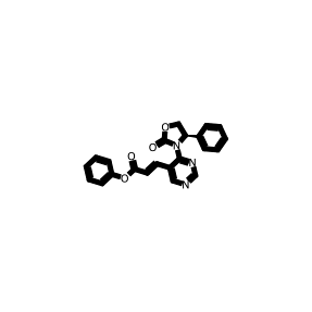 O=C(/[C]=C/c1cncnc1N1C(=O)OC[C@H]1c1ccccc1)Oc1ccccc1